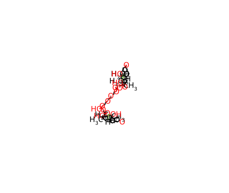 C[C@@H]1C[C@H]2[C@@H]3CCC4=CC(=O)C=C[C@]4(C)[C@@]3(F)[C@@H](O)C[C@]2(C)[C@@]1(O)C(=O)COC(=O)OCCOCCOCCOC(O)OCC(=O)[C@@]1(O)[C@H](C)C[C@H]2[C@@H]3CCC4=CC(=O)C=C[C@]4(C)[C@@]3(F)[C@@H](O)C[C@@]21C